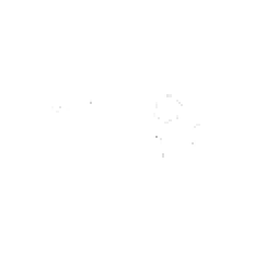 COC(=O)CCCCCN1C(=O)C(CC(C)C)NC(=O)c2ccccc21